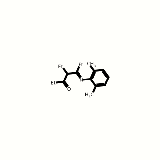 CCC(=O)C(CC)C(CC)=Nc1c(C)cccc1C